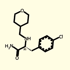 NC(=O)[C@@H](Cc1ccc(Cl)cc1)NCC1CCOCC1